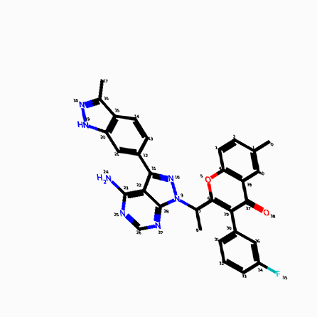 Cc1ccc2oc(C(C)n3nc(-c4ccc5c(C)n[nH]c5c4)c4c(N)ncnc43)c(-c3cccc(F)c3)c(=O)c2c1